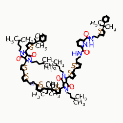 CCC(C)(c1ccccc1)c1ccc(CCNC(=O)c2cccc(C(=O)NCCc3ccc(-c4ccc(C5=C6C(=O)N(CCCC(C)C)C(c7ccc(C(C)(C)C(C)(CC)c8ccc(/C=C/c9ccc(-c%10ccc(C%11=C%12C(=O)N(CCCC(C)C)C(c%13ccc(C(C)(CC)c%14ccccc%14)s%13)=C%12C(=O)N%11CCCC(C)C)s%10)s9)s8)s7)=C6C(=O)N5CCCC(C)C)s4)s3)n2)s1